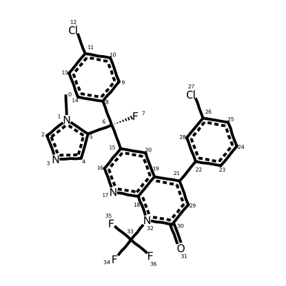 Cn1cncc1[C@@](F)(c1ccc(Cl)cc1)c1cnc2c(c1)c(-c1cccc(Cl)c1)cc(=O)n2C(F)(F)F